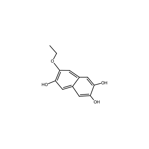 CCOc1cc2cc(O)c(O)cc2cc1O